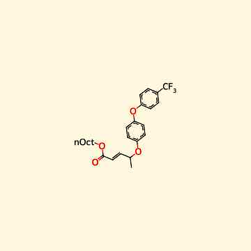 CCCCCCCCOC(=O)C=CC(C)Oc1ccc(Oc2ccc(C(F)(F)F)cc2)cc1